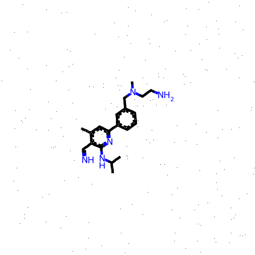 Cc1cc(-c2cccc(CN(C)CCN)c2)nc(NC(C)C)c1C=N